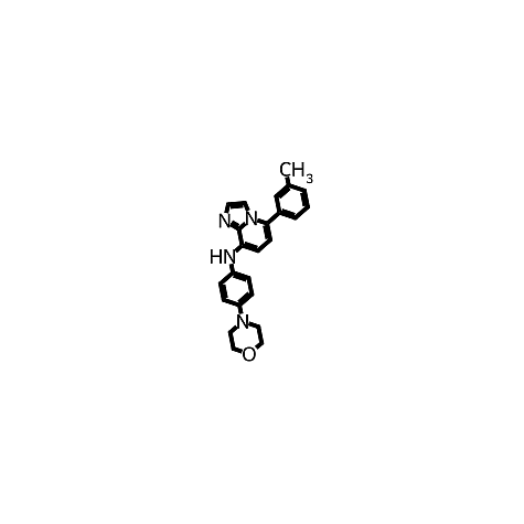 Cc1cccc(-c2ccc(Nc3ccc(N4CCOCC4)cc3)c3nccn23)c1